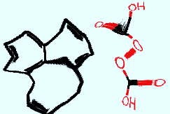 C1=Cc2cccc3cccc(c23)C1.O=C(O)OOC(=O)O